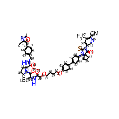 Cc1ncoc1-c1ccc(CNC(=O)[C@@H]2CCCN2C(=O)C(NC(=O)COCCCCOc2ccc(-c3ccc(N4C(=S)N(c5cnc(C#N)c(C(F)(F)F)c5)C(=O)C45CCC5)cc3)cc2)C(C)(C)C)cc1